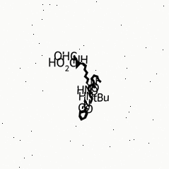 CC1CCCN1C(=O)[C@H](CCCCC/C=C\C1C[C@]1(NC=O)C(=O)O)NC(=O)NC(CN(C)S(=O)(=O)c1ccccc1)C(C)(C)C